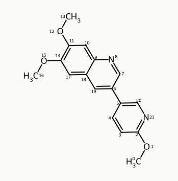 COc1ccc(-c2cnc3cc(OC)c(OC)cc3c2)cn1